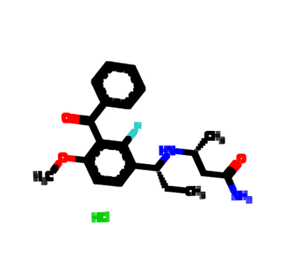 CC[C@@H](N[C@H](C)CC(N)=O)c1ccc(OC)c(C(=O)c2ccccc2)c1F.Cl